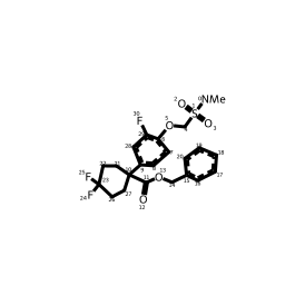 CNS(=O)(=O)COc1ccc(C2(C(=O)OCc3ccccc3)CCC(F)(F)CC2)cc1F